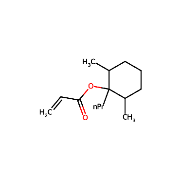 C=CC(=O)OC1(CCC)C(C)CCCC1C